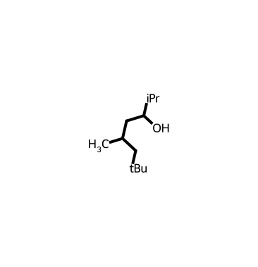 CC(CC(O)C(C)C)CC(C)(C)C